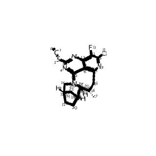 CCSc1nc2c3c(nc(Cl)c(F)c3n1)C[C@H](C)[C@@H]1[C@@H]3CC[C@@H](C3)CN21